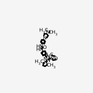 CC1COCCN1c1nc(-c2ccc(NC(=O)Nc3ccc(N4CCC(N(C)C)CC4)cc3)cc2)nc(N2[C@H](C)CC[C@@H]2C)n1